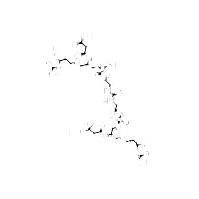 CC(=O)CC(=O)O[C@H](COCC[C@@H](C)OC(C)=O)COP(=O)(O)OCCNC(=O)NCCOP(=O)(O)OC[C@@H](COCC[C@@H](C)OC(C)=O)OC(=O)CC(C)=O